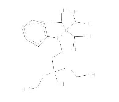 CCO[Si](C)(CCN(c1ccccc1)[Si](C(C)C)(C(C)C)C(C)C)OCC